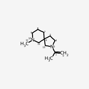 C=C(C)N1CCC2(CCCN(C)C2)C1